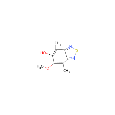 COc1c(O)c(C)c2nsnc2c1C